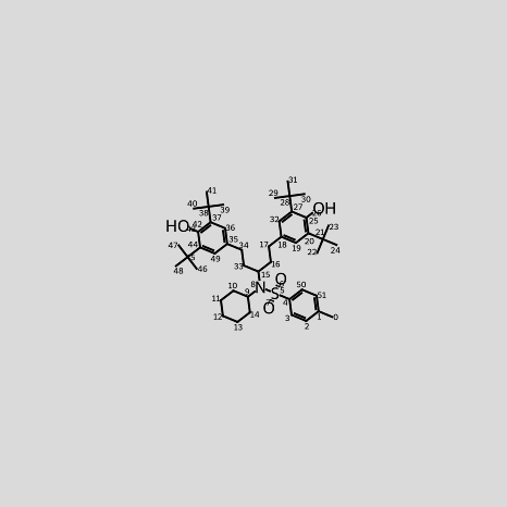 Cc1ccc(S(=O)(=O)N(C2CCCCC2)C(CCc2cc(C(C)(C)C)c(O)c(C(C)(C)C)c2)CCc2cc(C(C)(C)C)c(O)c(C(C)(C)C)c2)cc1